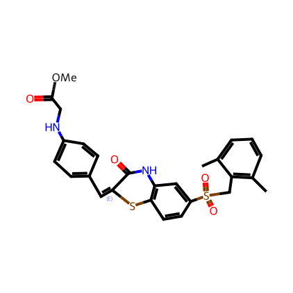 COC(=O)CNc1ccc(/C=C2/Sc3ccc(S(=O)(=O)Cc4c(C)cccc4C)cc3NC2=O)cc1